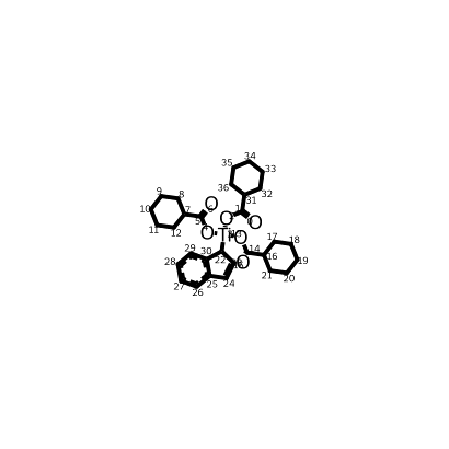 O=C([O][Ti]([O]C(=O)C1CCCCC1)([O]C(=O)C1CCCCC1)[CH]1C=Cc2ccccc21)C1CCCCC1